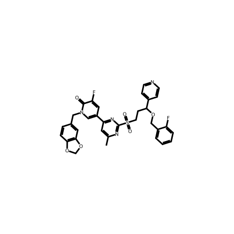 Cc1cc(-c2cc(F)c(=O)n(Cc3ccc4c(c3)OCO4)c2)nc(S(=O)(=O)CCC(OCc2ccccc2F)c2ccncc2)n1